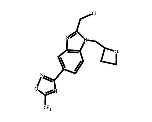 FC(F)(F)c1nc(-c2ccc3c(c2)nc(CCl)n3CC2CCO2)no1